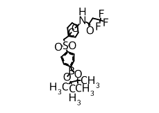 CC1(C)OB(c2ccc(S(=O)(=O)CC34CCC(NC(=O)CC(F)(F)F)(CC3)CC4)cc2)OC1(C)C